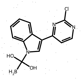 BC(O)(O)n1cc(-c2ccnc(Cl)n2)c2ccccc21